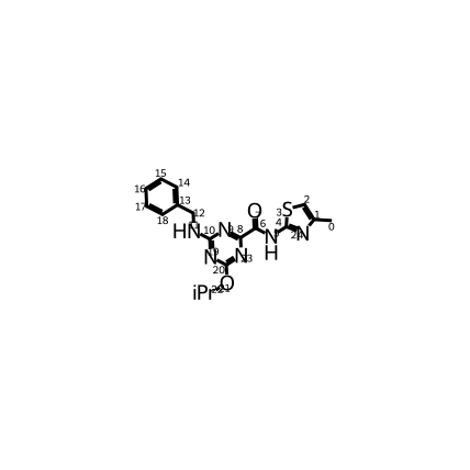 Cc1csc(NC(=O)c2nc(NCc3ccccc3)nc(OC(C)C)n2)n1